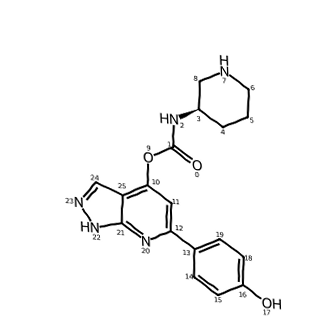 O=C(N[C@@H]1CCCNC1)Oc1cc(-c2ccc(O)cc2)nc2[nH]ncc12